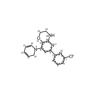 Clc1cccc(-c2cc(N3C=CC=CC3)c3c(n2)NCCO3)n1